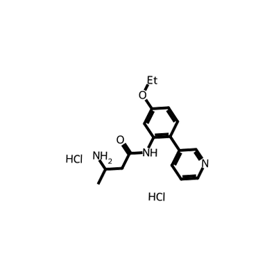 CCOc1ccc(-c2cccnc2)c(NC(=O)CC(C)N)c1.Cl.Cl